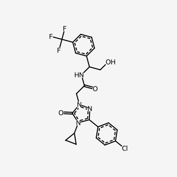 O=C(Cn1nc(-c2ccc(Cl)cc2)n(C2CC2)c1=O)NC(CO)c1cccc(C(F)(F)F)c1